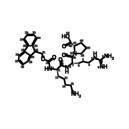 N=C(N)NCCC[C@H](NC(=O)[C@H](CCCCN)NC(=O)OCC1c2ccccc2-c2ccccc21)C(=O)N1CCC[C@H]1C(=O)O